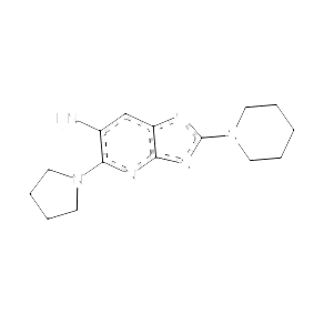 Nc1cc2oc(N3CCCCC3)nc2nc1N1CCCC1